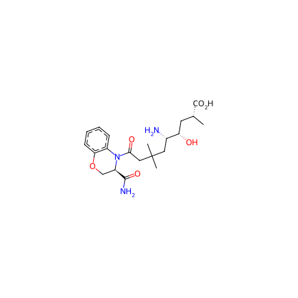 C[C@H](C[C@H](O)[C@@H](N)CC(C)(C)CC(=O)N1c2ccccc2OC[C@@H]1C(N)=O)C(=O)O